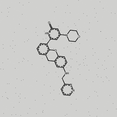 O=c1cc(N2CCOCC2)cc(-c2cccc3c2Oc2ccc(NCc4cccnn4)cc2C3)[nH]1